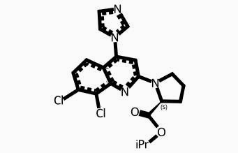 CC(C)OC(=O)[C@@H]1CCCN1c1cc(-n2ccnc2)c2ccc(Cl)c(Cl)c2n1